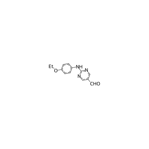 CCOc1ccc(Nc2ncc(C=O)cn2)cc1